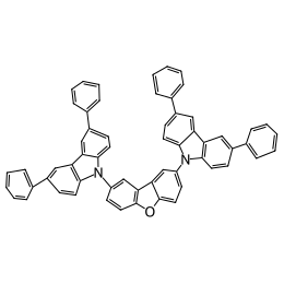 c1ccc(-c2ccc3c(c2)c2cc(-c4ccccc4)ccc2n3-c2ccc3oc4ccc(-n5c6ccc(-c7ccccc7)cc6c6cc(-c7ccccc7)ccc65)cc4c3c2)cc1